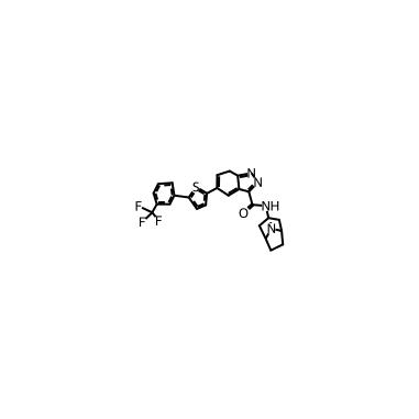 CN1C2CCC1CC(NC(=O)C1=NN=C3CC=C(c4ccc(-c5cccc(C(F)(F)F)c5)s4)C=C31)C2